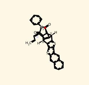 C=C/C=C\C1=C(C)[C@H]2c3sc4c(sc5cc6ccccc6cc54)c3[C@@H]1C1C(=O)N(c3ccccc3)C(=O)C12